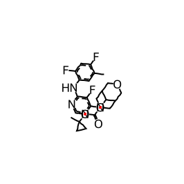 Cc1cc(Nc2ncnc(OC3C4COCC3CN(C(=O)OC3(C)CC3)C4)c2F)c(F)cc1F